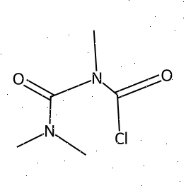 CN(C)C(=O)N(C)C(=O)Cl